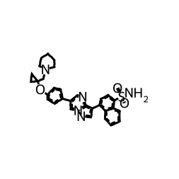 NS(=O)(=O)c1ccc(-c2cnn3cc(-c4ccc(OC5(CN6CCCCC6)CC5)cc4)cnc23)c2ccccc12